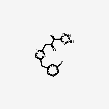 O=C(Cc1nc(Cc2cccc(F)c2)cs1)C(=O)c1nn[nH]n1